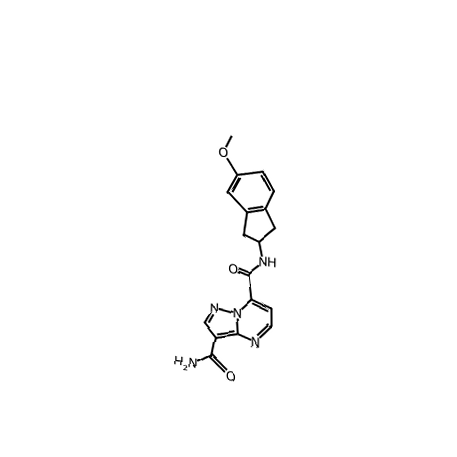 COc1ccc2c(c1)CC(NC(=O)c1ccnc3c(C(N)=O)cnn13)C2